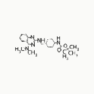 CN(C)c1nc(NCC2CCC(NC(=O)OC(C)(C)C)CC2)nc2ccccc12